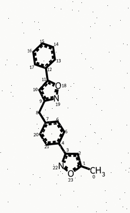 Cc1cc(-c2ccc(Cc3cc(-c4ccccc4)on3)cc2)no1